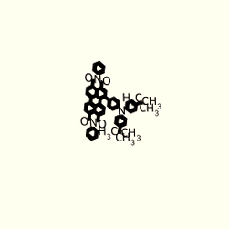 CC(C)(C)c1ccc(N(c2ccc(-c3cc4c5c(ccc6c7ccc8c9c(ccc(c3c56)c97)C(=O)N(c3ccccc3)C8=O)C(=O)N(c3ccccc3)C4=O)cc2)c2ccc(C(C)(C)C)cc2)cc1